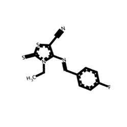 CCn1c(N=Cc2ccc(F)cc2)c(C#N)sc1=S